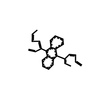 C=C/C=C\C(=C/C)c1c2ccccc2c(/C(C=C)=C/C=C\C)c2ccccc12